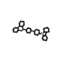 c1ccc2c(c1)CC(c1ccc(-c3ccc(-n4c5ccccc5c5ccccc54)cc3)cc1)c1ccccc1-2